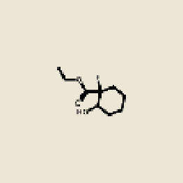 CCOC(=O)C1(F)CCCCC1O